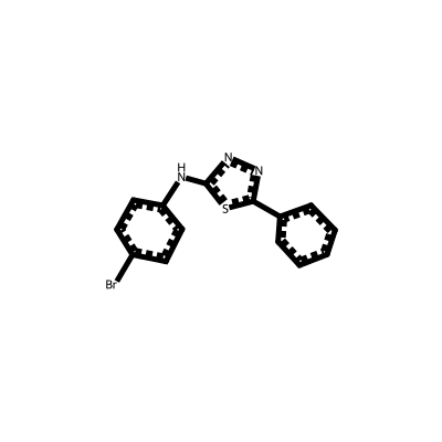 Brc1ccc(Nc2nnc(-c3ccccc3)s2)cc1